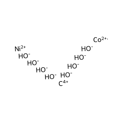 [C+4].[Co+2].[Ni+2].[OH-].[OH-].[OH-].[OH-].[OH-].[OH-].[OH-].[OH-]